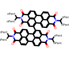 CCCCCC(CCCCC)N1C(=O)c2ccc3c4ccc5c6c(cc(-c7cc8c9c(ccc%10c%11ccc%12c%13c(ccc(c7c9%10)c%13%11)C(=O)N(C(CCCCC)CCCCC)C%12=O)C(=O)N(C(CCCCC)CCCCC)C8=O)c(c7ccc(c2c37)C1=O)c64)C(=O)N(C(CCCCC)CCCCC)C5=O